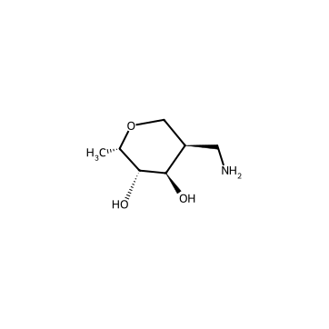 C[C@@H]1OC[C@@H](CN)[C@@H](O)[C@@H]1O